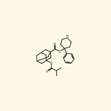 CC(I)C(=O)OC12CC3CC(C1)CC(C(=O)OC1(c4ccccc4)CCNCC1)(C3)C2